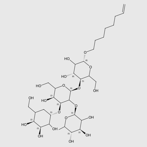 C=CCCCCCCO[C@@H]1OC(CO)[C@@H](O[C@@H]2OC(CO)[C@H](O)[C@H](O[C@H]3CC(CO)[C@H](O)[C@H](O)C3O)C2O[C@@H]2OC(C)[C@@H](O)[C@H](O)C2O)[C@H](O)C1O